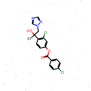 CCC(O)(Cn1cncn1)c1ccc(OC(=O)c2ccc(Cl)cc2)cc1Cl